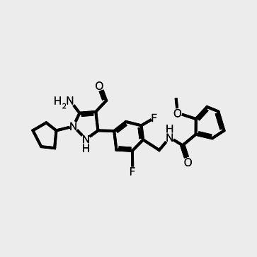 COc1ccccc1C(=O)NCc1c(F)cc(C2NN(C3CCCC3)C(N)=C2C=O)cc1F